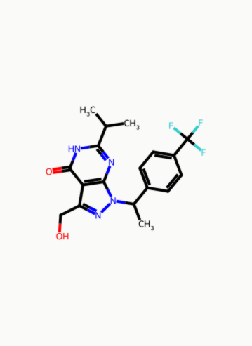 CC(C)c1nc2c(c(CO)nn2C(C)c2ccc(C(F)(F)F)cc2)c(=O)[nH]1